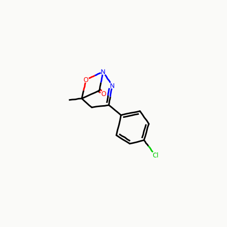 CC12CC(c3ccc(Cl)cc3)=NN(O1)C2=O